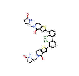 O=C1CC[C@@H](Cn2ccc3sc(-c4cccc(-c5cccc(-c6cc7c(=O)n(C[C@@H]8CCC(=O)N8)ccc7s6)c5Cl)c4Cl)cc3c2=O)N1